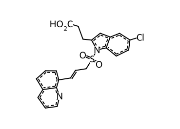 O=C(O)CCc1cc2cc(Cl)ccc2n1S(=O)(=O)CC=Cc1cccc2cccnc12